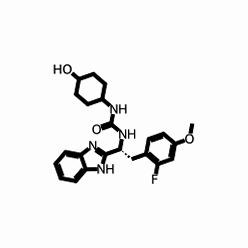 COc1ccc(C[C@@H](NC(=O)NC2CCC(O)CC2)c2nc3ccccc3[nH]2)c(F)c1